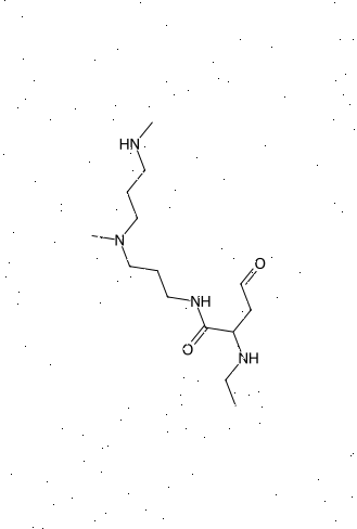 CCNC(CC=O)C(=O)NCCCN(C)CCCNC